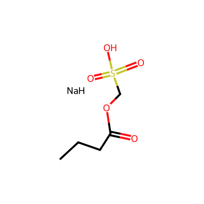 CCCC(=O)OCS(=O)(=O)O.[NaH]